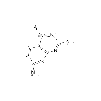 Nc1ccc2c(c1)nc(N)n[n+]2[O-]